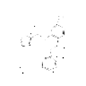 Nc1ncc(CCc2ccccc2)c(NCc2cccs2)n1